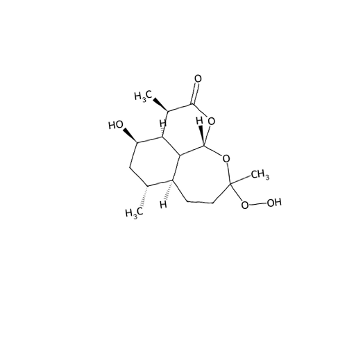 C[C@@H]1C[C@@H](O)[C@@H]2C3[C@H](OC(=O)[C@@H]2C)OC(C)(OO)CC[C@H]31